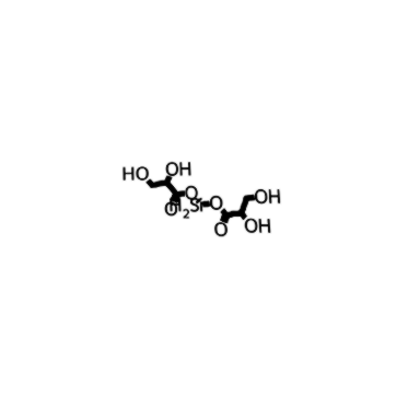 O=C(O[SiH2]OC(=O)C(O)CO)C(O)CO